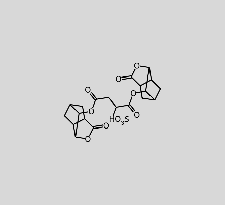 O=C(CC(C(=O)OC1C2CC3C(=O)OC1C3C2)S(=O)(=O)O)OC1C2CC3C(=O)OC1C3C2